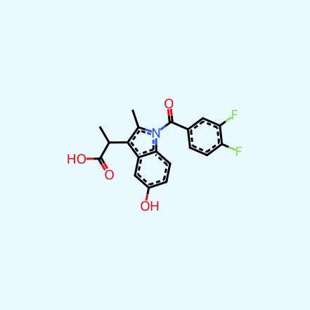 Cc1c(C(C)C(=O)O)c2cc(O)ccc2n1C(=O)c1ccc(F)c(F)c1